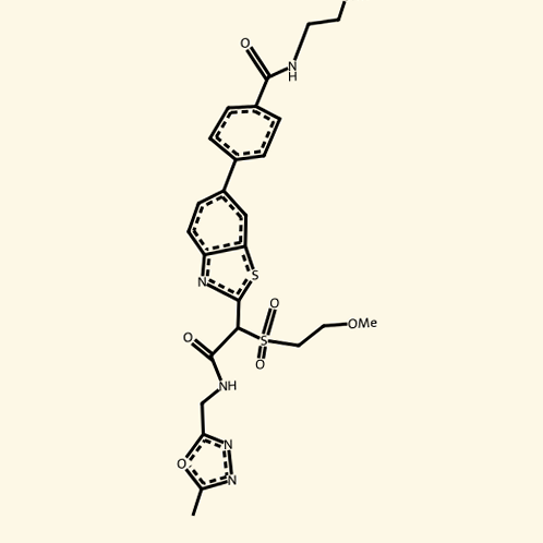 COCCNC(=O)c1ccc(-c2ccc3nc(C(C(=O)NCc4nnc(C)o4)S(=O)(=O)CCOC)sc3c2)cc1